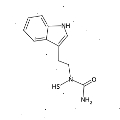 NC(=O)N(S)CCc1c[nH]c2ccccc12